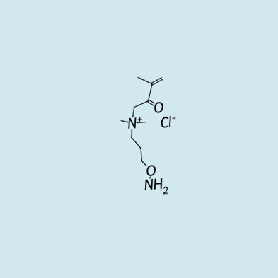 C=C(C)C(=O)C[N+](C)(C)CCCON.[Cl-]